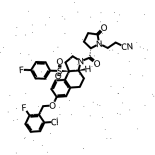 N#CCCN1C(=O)CC[C@H]1C(=O)N1CC[C@@]2(S(=O)(=O)c3ccc(F)cc3)c3ccc(OCc4c(F)cccc4Cl)cc3CC[C@@H]12